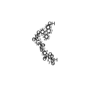 O=C1CCC(N2C(=O)c3cc4c(cc3C2=O)CN(CC(=O)N2CCC(C(=O)N3CC(Oc5ccc([C@@H]6c7ccc(O)cc7CC[C@@H]6c6ccccc6)cc5)C3)CC2)C4)C(=O)N1